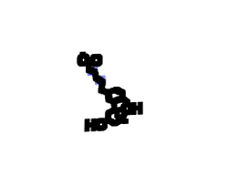 COC(=O)/C=C/C=C/Cc1ccc(CO)c(C2CC(O)CC(C)O2)c1